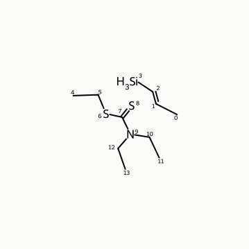 CC=C[SiH3].CCSC(=S)N(CC)CC